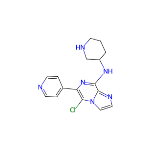 Clc1c(-c2ccncc2)nc(NC2CCCNC2)c2nccn12